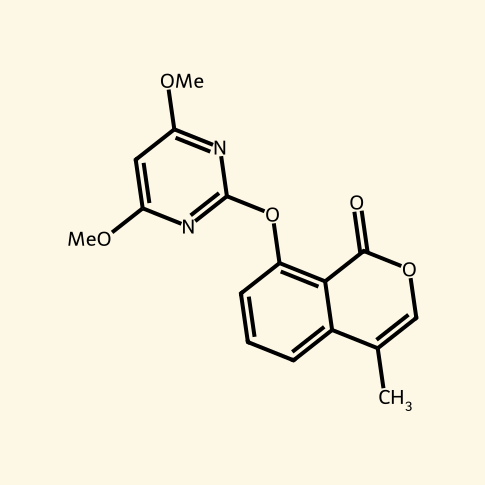 COc1cc(OC)nc(Oc2cccc3c(C)coc(=O)c23)n1